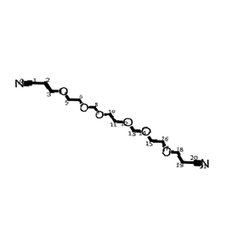 N#CCCOCCOCOCCOCOCCOCCC#N